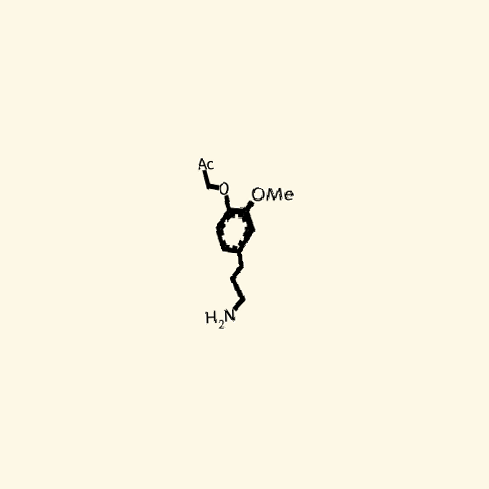 COc1cc(CCCN)ccc1OCC(C)=O